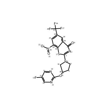 O=c1nc(N2CC[C@@H](Oc3ncc(F)cn3)C2)sc2c([N+](=O)[O-])cc(C(F)(F)F)cc12